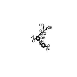 CN(C)C(=O)c1cc(CNC(=O)C(=O)N(CCO)CCO)c(O)c(-n2nc3ccc(C(=O)N(C)C)cc3n2)c1